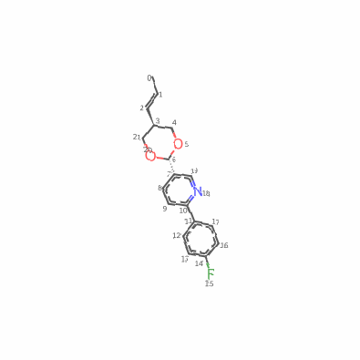 CC=C[C@H]1CO[C@H](c2ccc(-c3ccc(F)cc3)nc2)OC1